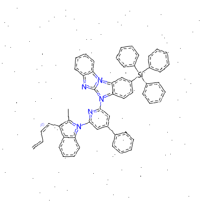 C=C/C=C\c1c(C)n(-c2cc(-c3ccccc3)cc(-n3c4ccc([Si](c5ccccc5)(c5ccccc5)c5ccccc5)cc4n4c5ccccc5nc34)n2)c2ccccc12